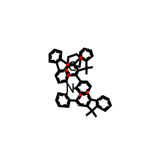 CC1(C)c2ccccc2-c2ccc(-c3ccccc3N(c3ccc4c(c3)C3(CCCCC3)c3ccccc3-4)c3ccccc3-c3cccc4c3C(C)(C)c3ccccc3-4)cc21